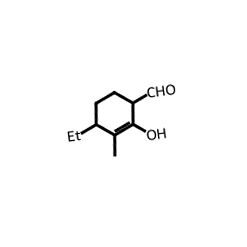 CCC1CCC(C=O)C(O)=C1C